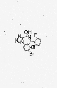 OC1N=C(c2c(F)cccc2F)c2c(ccc(Br)c2Cl)-n2cnnc21